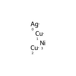 [Ag].[Cu].[Cu].[Ni]